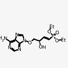 CCOP(=O)(/C=C/[C@@H](O)COn1cnc2c(N)ncnc21)OCC